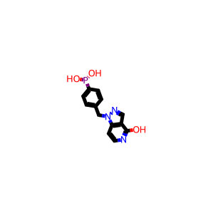 Oc1nccc2c1cnn2Cc1ccc(P(O)O)cc1